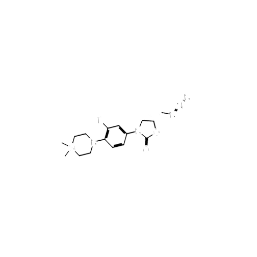 C[Si]1(C)CCN(c2ccc(N3C[C@H](CN=[N+]=[N-])OC3=O)cc2F)CC1